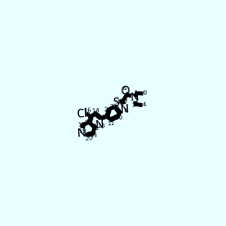 CCN(CC)C(=O)c1nc2ccc(-c3cc(Cl)c4cnccc4n3)cc2s1